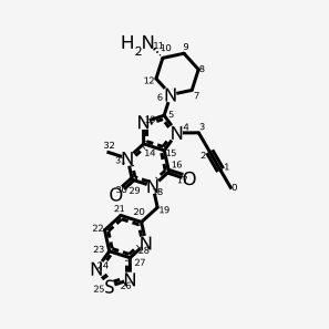 CC#CCn1c(N2CCC[C@@H](N)C2)nc2c1c(=O)n(Cc1ccc3nsnc3n1)c(=O)n2C